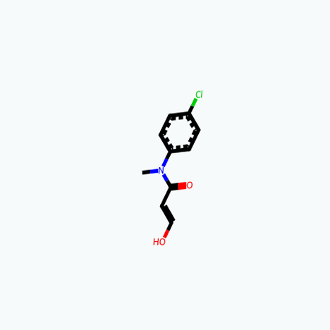 CN(C(=O)/C=C/O)c1ccc(Cl)cc1